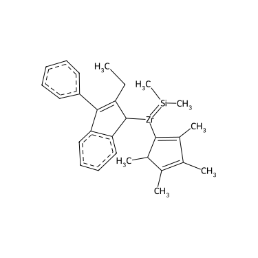 CCC1=C(c2ccccc2)c2ccccc2[CH]1[Zr]([C]1=C(C)C(C)=C(C)C1C)=[Si](C)C